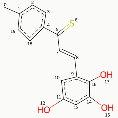 Cc1ccc(C(=S)C=Cc2cc(O)cc(O)c2O)cc1